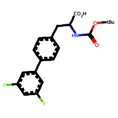 CC(C)(C)OC(=O)NC(Cc1ccc(-c2cc(F)cc(F)c2)cc1)C(=O)O